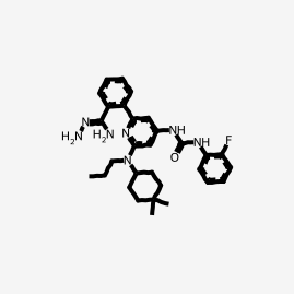 CCCN(c1cc(NC(=O)Nc2ccccc2F)cc(-c2ccccc2/C(N)=N/N)n1)C1CCC(C)(C)CC1